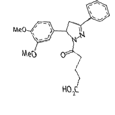 COc1ccc(C2CC(c3ccccc3)=NN2C(=O)CCCC(=O)O)cc1OC